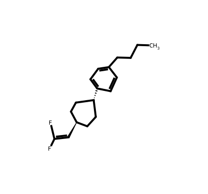 CCCCc1ccc([C@H]2CC[C@H](C=C(F)F)CC2)cc1